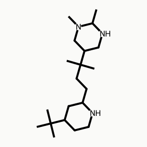 CC1NCC(C(C)(C)CCC2CC(C(C)(C)C)CCN2)CN1C